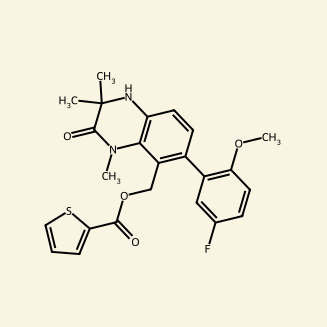 COc1ccc(F)cc1-c1ccc2c(c1COC(=O)c1cccs1)N(C)C(=O)C(C)(C)N2